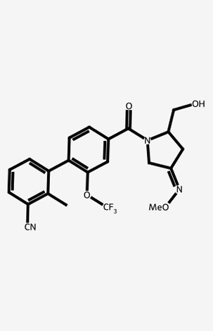 CO/N=C1/CC(CO)N(C(=O)c2ccc(-c3cccc(C#N)c3C)c(OC(F)(F)F)c2)C1